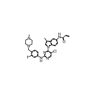 C=CC(=O)Nc1ccc2c(c1)c(C)cn2-c1nc(Nc2ccc(CN3CCN(C)CC3)c(F)c2)ncc1Cl